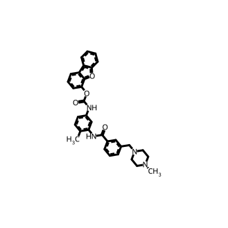 Cc1ccc(NC(=O)Oc2cccc3c2oc2ccccc23)cc1NC(=O)c1cccc(CN2CCN(C)CC2)c1